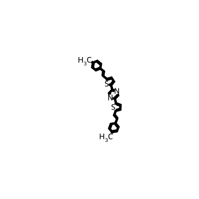 Cc1ccc(/C=C/c2ccc(-c3cnc(-c4ccc(/C=C/c5ccc(C)cc5)s4)cn3)s2)cc1